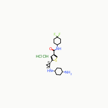 Cl.Cl.N[C@H]1CC[C@@H](N[C@@H]2C[C@H]2c2cc(C(=O)NC3CCC(F)(F)CC3)cs2)CC1